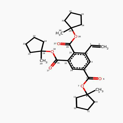 C=Cc1cc(C(=O)OC2(C)CCCC2)cc(C(=O)OC2(C)CCCC2)c1C(=O)OC1(C)CCCC1